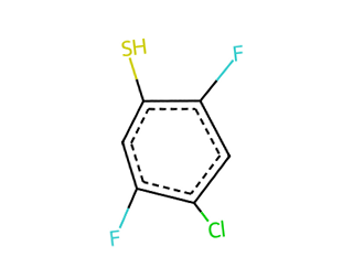 Fc1cc(Cl)c(F)cc1S